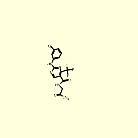 CC(=O)CNC(=O)c1cnc(Nc2cccc(Cl)c2)nc1C(F)(F)F